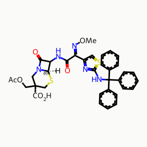 CON=C(C(=O)NC1C(=O)N2CC(COC(C)=O)(C(=O)O)CS[C@H]12)c1csc(NC(c2ccccc2)(c2ccccc2)c2ccccc2)n1